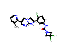 Cc1cccnc1-c1cnc2nc(-c3cc(NC(=O)N4CC(F)(F)C4)ccc3F)cn2c1